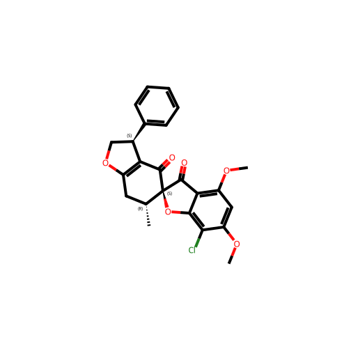 COc1cc(OC)c2c(c1Cl)O[C@@]1(C(=O)C3=C(C[C@H]1C)OC[C@H]3c1ccccc1)C2=O